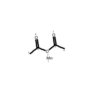 CC(=O)OC(C)=O.[Mn]